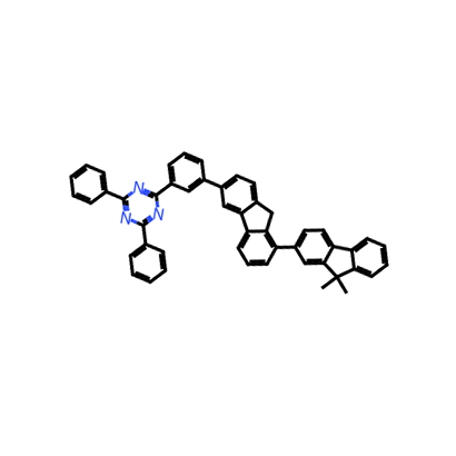 CC1(C)c2ccccc2-c2ccc(-c3cccc4c3Cc3ccc(-c5cccc(-c6nc(-c7ccccc7)nc(-c7ccccc7)n6)c5)cc3-4)cc21